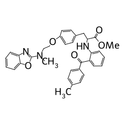 COC(=O)C(Cc1ccc(OCCN(C)c2nc3ccccc3o2)cc1)Nc1ccccc1C(=O)c1ccc(C)cc1